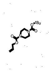 C=CCOC(=O)N1CCN(C(=O)OC(C)(C)C)CC1